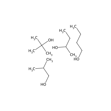 CC(C)(C)O.CC(C)CO.CCC(C)O.CCCCO